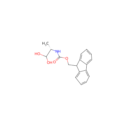 C[C@H](NC(=O)OCC1c2ccccc2-c2ccccc21)C(O)O